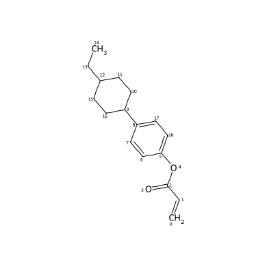 C=CC(=O)Oc1ccc(C2CCC(CC)CC2)cc1